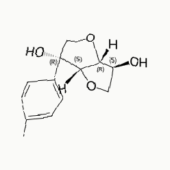 Cc1ccc([C@@]2(O)CO[C@@H]3[C@@H](O)CO[C@@H]32)cc1